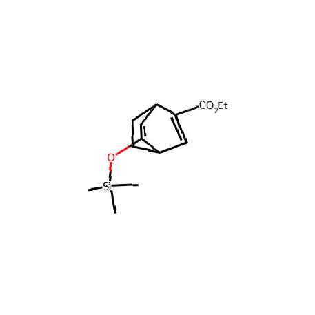 CCOC(=O)C1=CC2CCC1C=C2O[Si](C)(C)C